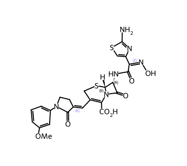 COc1cccc(N2CC/C(=C\C3=C(C(=O)O)N4C(=O)[C@@H](NC(=O)/C(=N\O)c5csc(N)n5)[C@H]4SC3)C2=O)c1